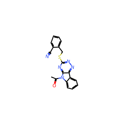 CC(=O)n1c2ccccc2c2nnc(SCc3ccccc3C#N)nc21